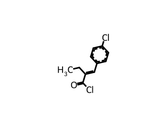 CC/C(=C\c1ccc(Cl)cc1)C(=O)Cl